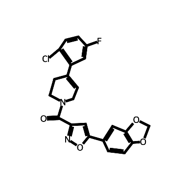 O=C(c1cc(-c2ccc3c(c2)OCO3)on1)N1CC=C(c2cc(F)ccc2Cl)CC1